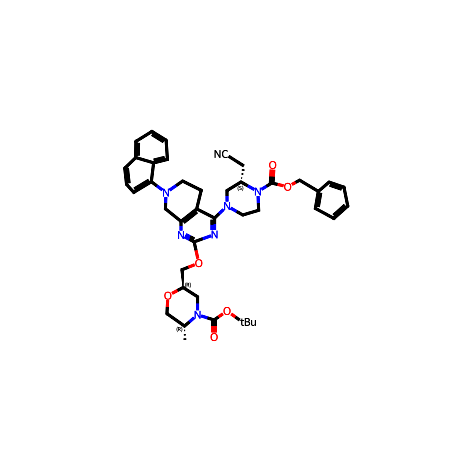 C[C@@H]1CO[C@@H](COc2nc3c(c(N4CCN(C(=O)OCc5ccccc5)[C@@H](CC#N)C4)n2)CCN(c2cccc4ccccc24)C3)CN1C(=O)OC(C)(C)C